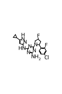 Nc1nc(Nc2cc(C3CC3)[nH]n2)nc(N2CC(F)CC2c2ccc(Cl)cc2F)n1